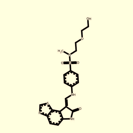 CN(CCOCCO)S(=O)(=O)c1ccc(NC=C2C(=O)Nc3ccc4ncsc4c32)cc1